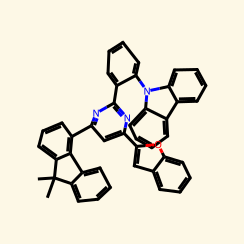 CC1(C)c2ccccc2-c2c(-c3cc(-c4cc5ccccc5o4)nc(-c4ccccc4-n4c5ccccc5c5ccccc54)n3)cccc21